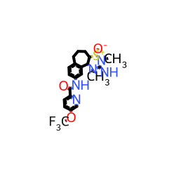 CN1C(=N)N(C)[S+]([O-])C2CCCc3ccc(NC(=O)c4ccc(OC(F)(F)F)cn4)cc3C21